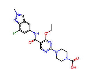 CCOc1nc(N2CCN(C(=O)O)CC2)ncc1C(=O)Nc1cc(F)c2nn(C)cc2c1